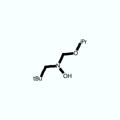 CC(C)OCN(O)CC(C)(C)C